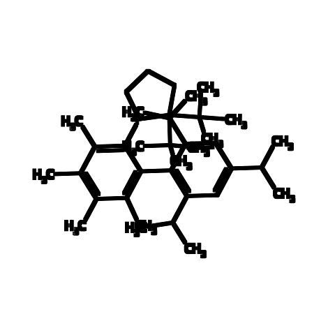 Cc1c(C)c(C)c(P2CCCC2(C(C)(C)C)C(C)(C)C)c(-c2c(C(C)C)cc(C(C)C)cc2C(C)C)c1C